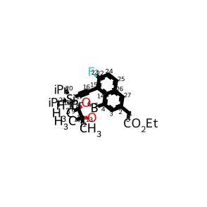 CCOC(=O)Cc1cc(B2OC(C)(C)C(C)(C)O2)c2c(C#C[Si](C(C)C)(C(C)C)C(C)C)c(F)ccc2c1